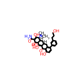 CN(C)C1C(O)=C(C(N)=O)C(=O)[C@@]2(O)C(O)=C3C(=O)c4c(O)ccc(-c5cccc(CCCO)c5)c4C[C@H]3C[C@@H]12